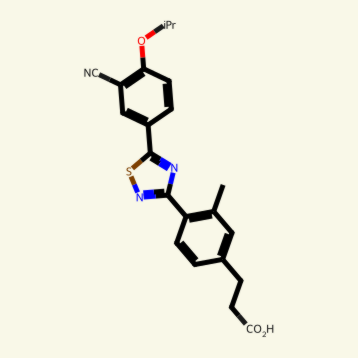 Cc1cc(CCC(=O)O)ccc1-c1nsc(-c2ccc(OC(C)C)c(C#N)c2)n1